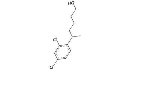 CC(CCCCO)c1ccc(Cl)cc1Cl